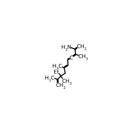 C=C(N)C(C)=C=C/C=C(\C)CC(C)(CC)C(=C)C